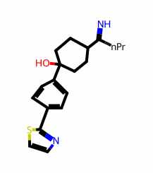 C[CH]CC(=N)C1CCC(O)(c2ccc(-c3nccs3)cc2)CC1